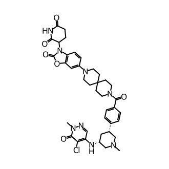 CN1C[C@H](Nc2cnn(C)c(=O)c2Cl)C[C@H](c2ccc(C(=O)N3CCC4(CC3)CCN(c3ccc5c(c3)oc(=O)n5C3CCC(=O)NC3=O)CC4)cc2)C1